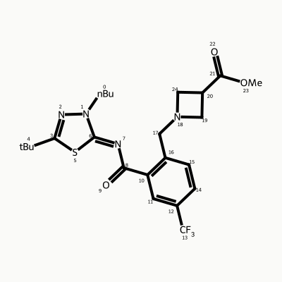 CCCCn1nc(C(C)(C)C)sc1=NC(=O)c1cc(C(F)(F)F)ccc1CN1CC(C(=O)OC)C1